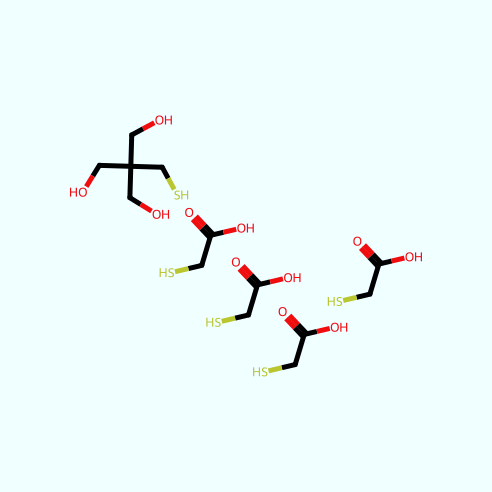 O=C(O)CS.O=C(O)CS.O=C(O)CS.O=C(O)CS.OCC(CO)(CO)CS